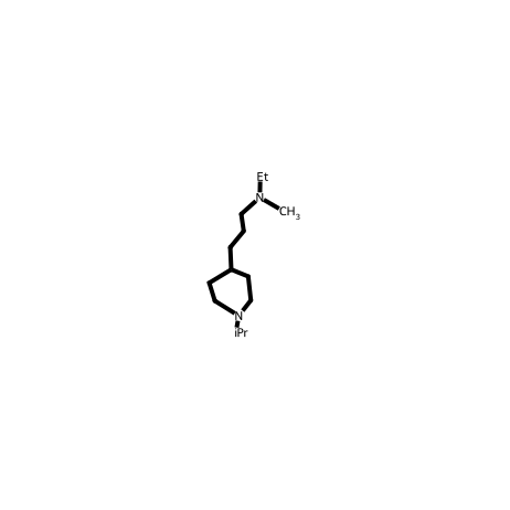 CCN(C)CCCC1CCN(C(C)C)CC1